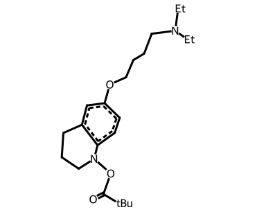 CCN(CC)CCCCOc1ccc2c(c1)CCCN2OC(=O)C(C)(C)C